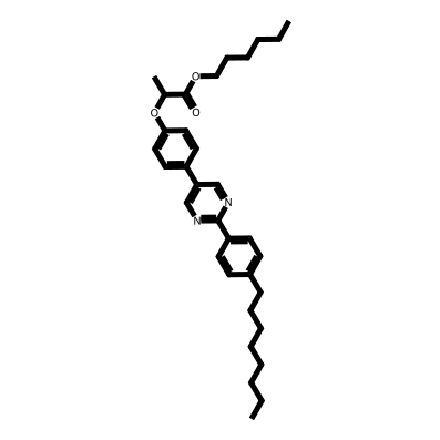 CCCCCCCCc1ccc(-c2ncc(-c3ccc(OC(C)C(=O)OCCCCCC)cc3)cn2)cc1